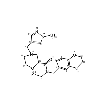 CC(C)CN(Cc1ccc2c(c1)OCCO2)C(=O)C1CN(Cc2cnn(C)c2)CCO1